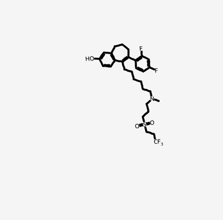 CN(CCCCCCC1=C(c2ccc(F)cc2F)CCCc2cc(O)ccc21)CCCS(=O)(=O)CCC(F)(F)F